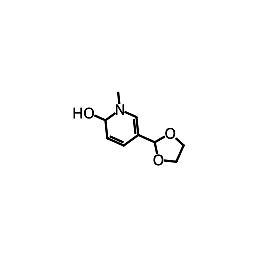 CN1C=C(C2OCCO2)C=CC1O